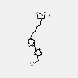 CCN(CC)CCCCc1cnn(-c2ncc(CN)s2)c1